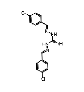 N=C(N/N=C/c1ccc(Cl)cc1)N/N=C/c1ccc(Cl)cc1